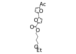 CCOCCCCOC(=O)c1ccc(-c2ccc(C(C)=O)o2)o1